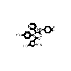 CC(C)(C)c1ccc(N(C(=O)C2CC(O)CN2C#N)C(C(=O)NC2CCC(F)(F)CC2)c2cccnc2)cc1